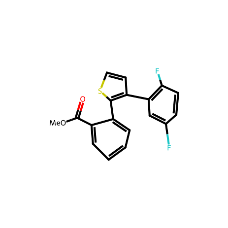 COC(=O)c1ccccc1-c1sccc1-c1cc(F)ccc1F